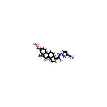 COC[C@H]1CCC2C3CC[C@@]4(C)C(CC[C@@H]4[C@H](C)Cn4ccc(C#N)n4)[C@@H]3CC[C@@H]2C1